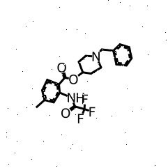 Cc1ccc(C(=O)OC2CCN(Cc3ccccc3)CC2)c(NC(=O)C(F)(F)F)c1